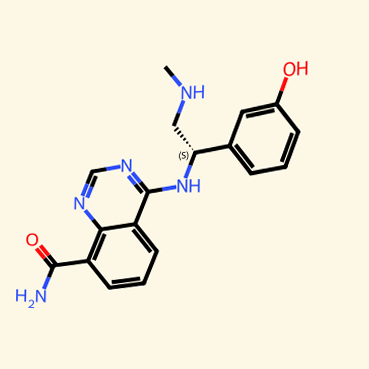 CNC[C@@H](Nc1ncnc2c(C(N)=O)cccc12)c1cccc(O)c1